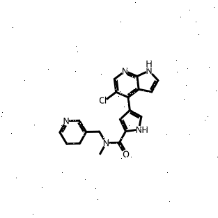 CN(CC1=CN=CCC1)C(=O)c1cc(-c2c(Cl)cnc3[nH]ccc23)c[nH]1